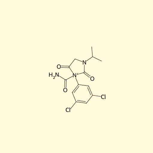 CC(C)N1CC(=O)[N+](C(N)=O)(c2cc(Cl)cc(Cl)c2)C1=O